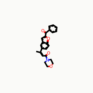 C/C(=C/C(=O)N1CCOCC1)c1ccc2oc(C(=O)c3ccccc3)cc2c1